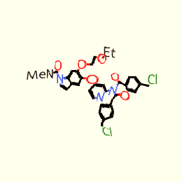 CCOCCOc1cc2c(ccn2C(=O)NC)cc1Oc1ccnc(N(C(=O)c2ccc(CCl)cc2)C(=O)c2ccc(CCl)cc2)c1